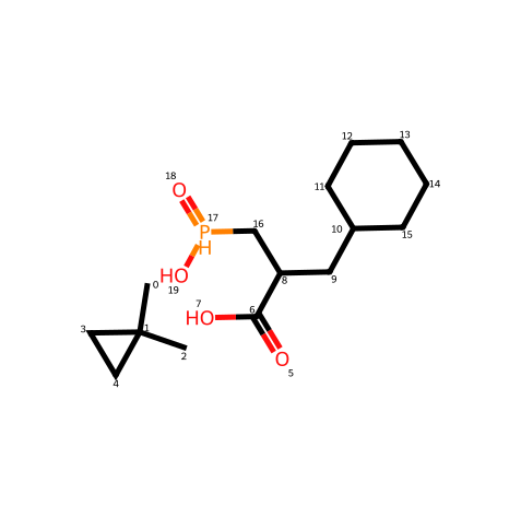 CC1(C)CC1.O=C(O)C(CC1CCCCC1)C[PH](=O)O